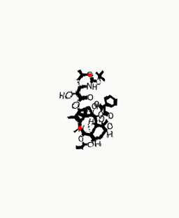 C=CC1O[C@H]2C[C@H]3OC[C@@]3(OC(C)=O)[C@H]3[C@H](OC(=O)c4ccccc4)[C@]4(O)C[C@H](OC(=O)[C@@H](O)[C@H](CC(C)C)NC(=O)OC(C)(C)C)C(C)=C([C@H](C)[C@H](O1)[C@]23C)C4(C)C